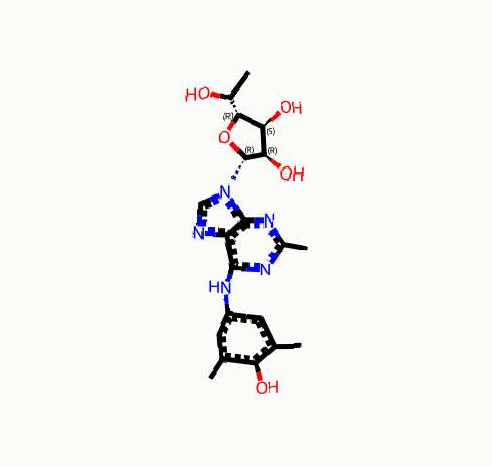 Cc1nc(Nc2cc(C)c(O)c(C)c2)c2ncn([C@@H]3O[C@H](C(C)O)[C@@H](O)[C@H]3O)c2n1